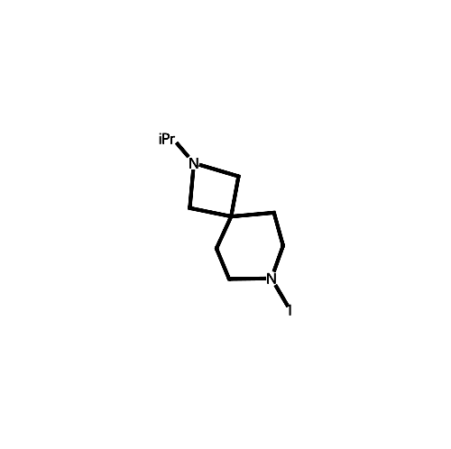 CC(C)N1CC2(CCN(I)CC2)C1